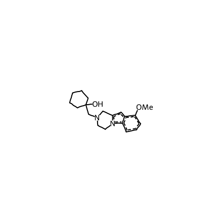 COc1cccc2c1cc1n2CCN(CC2(O)CCCCC2)C1